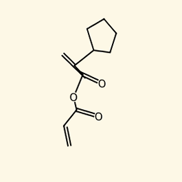 C=CC(=O)OC(=O)C(=C)C1CCCC1